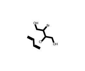 C=CC=C.OCC(Cl)C(Br)CO